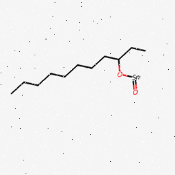 CCCCCCCCC(CC)[O][Sn]=[O]